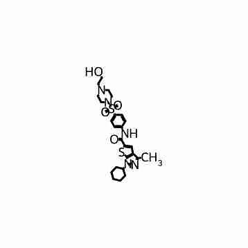 Cc1nn(C2CCCCC2)c2sc(C(=O)Nc3ccc(S(=O)(=O)N4CCN(CCO)CC4)cc3)cc12